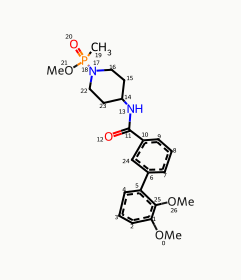 COc1cccc(-c2cccc(C(=O)NC3CCN(P(C)(=O)OC)CC3)c2)c1OC